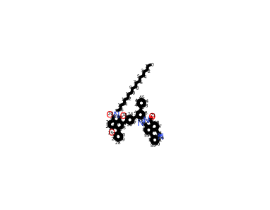 CCCCCCCCCCCCCCCCCCn1c(=O)c2ccc3oc4ccccc4c4cc(-c5ccc(-c6cc(-c7ccccc7)cc7c6nc6c8ccc(-c9ccccc9)c9c(C#N)ccc(c(=O)n76)c98)cc5)c(c1=O)c2c34